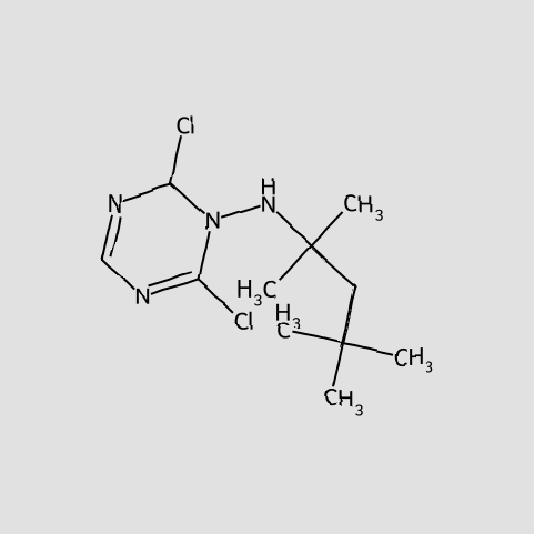 CC(C)(C)CC(C)(C)NN1C(Cl)=NC=NC1Cl